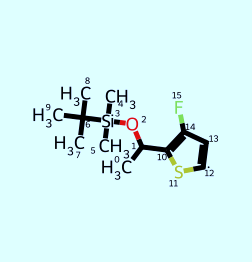 CC(O[Si](C)(C)C(C)(C)C)c1s[c]cc1F